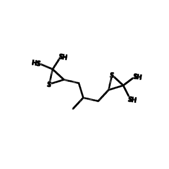 CC(CC1SC1(S)S)CC1SC1(S)S